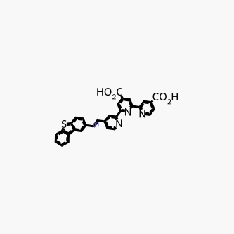 O=C(O)c1ccnc(-c2cc(C(=O)O)cc(-c3cc(/C=C/c4ccc5sc6ccccc6c5c4)ccn3)n2)c1